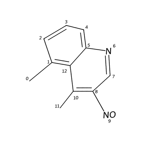 Cc1cccc2ncc(N=O)c(C)c12